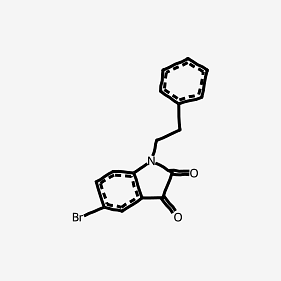 O=C1C(=O)N(CCc2ccccc2)c2ccc(Br)cc21